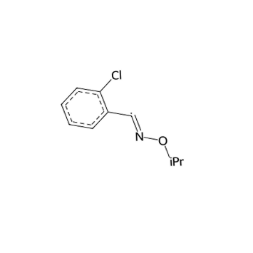 CC(C)O/N=[C]/c1ccccc1Cl